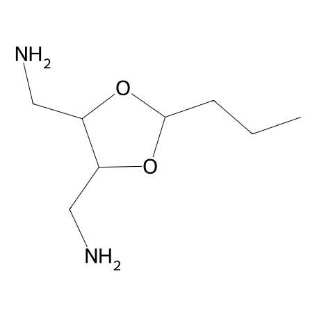 CCCC1OC(CN)C(CN)O1